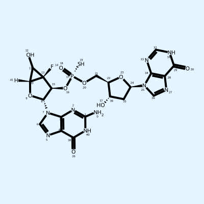 Nc1nc2c(ncn2[C@@H]2O[C@@H]3C(O)[C@]3(F)[C@H]2O[P@](=O)(S)OC[C@H]2O[C@@H](n3cnc4c(=O)[nH]cnc43)C[C@@H]2O)c(=O)[nH]1